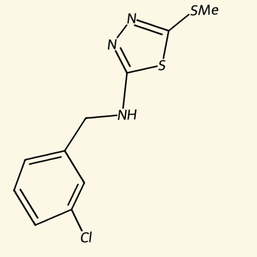 CSc1nnc(NCc2cccc(Cl)c2)s1